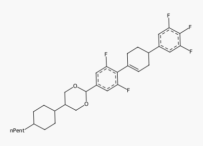 CCCCCC1CCC(C2COC(c3cc(F)c(C4=CCC(c5cc(F)c(F)c(F)c5)CC4)c(F)c3)OC2)CC1